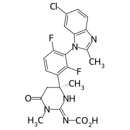 Cc1nc2ccc(Cl)cc2n1-c1c(F)ccc([C@]2(C)CC(=O)N(C)/C(=N/C(=O)O)N2)c1F